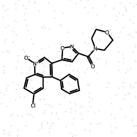 O=C(c1cc(-c2c[n+]([O-])c3ccc(Cl)cc3c2-c2ccccc2)on1)N1CCOCC1